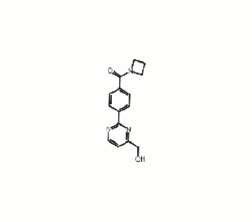 O=C(c1ccc(-c2nccc(CO)n2)cc1)N1CCC1